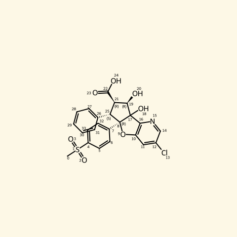 CS(=O)(=O)c1ccc([C@@]23Oc4cc(Cl)cnc4C2(O)[C@H](O)[C@H](C(=O)O)[C@H]3c2ccccc2)cc1